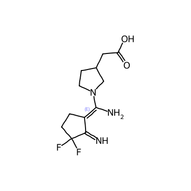 N=C1/C(=C(\N)N2CCC(CC(=O)O)C2)CCC1(F)F